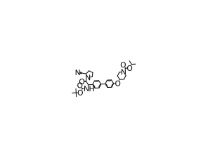 CC(C)OC(=O)N1CCC(Oc2ccc(-c3ccc(C(NC(=O)OC(C)(C)C)C(=O)N4CCCC4C#N)cc3)cc2)CC1